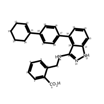 O=C(O)c1ccccc1CNc1n[nH]c2cccc(-c3ccc(C4=CCCCC4)cc3)c12